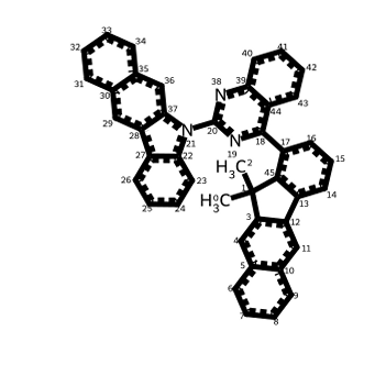 CC1(C)c2cc3ccccc3cc2-c2cccc(-c3nc(-n4c5ccccc5c5cc6ccccc6cc54)nc4ccccc34)c21